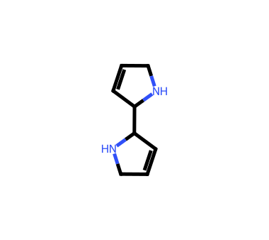 C1=CC(C2C=CCN2)NC1